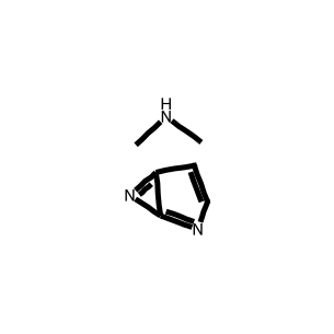 CNC.c1cc2nc-2n1